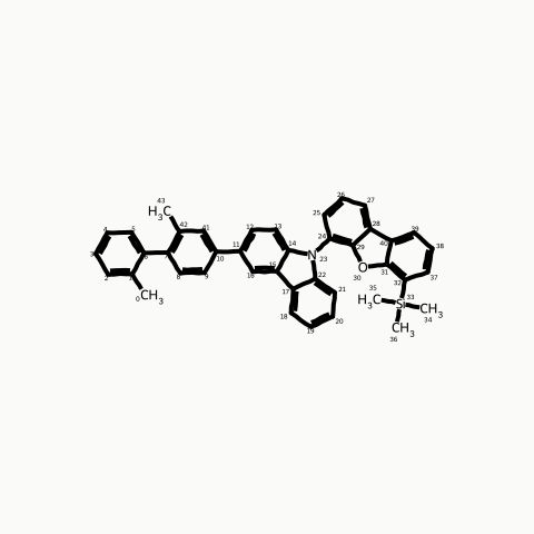 Cc1ccccc1-c1ccc(-c2ccc3c(c2)c2ccccc2n3-c2cccc3c2oc2c([Si](C)(C)C)cccc23)cc1C